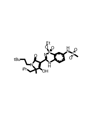 CCOP1(=O)N=C(C2=C(O)C(C)(CC(C)C)N(CCC(C)(C)C)C2=O)Nc2ccc(NS(C)(=O)=O)cc21